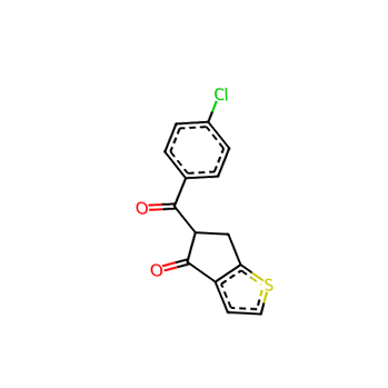 O=C(c1ccc(Cl)cc1)C1Cc2sccc2C1=O